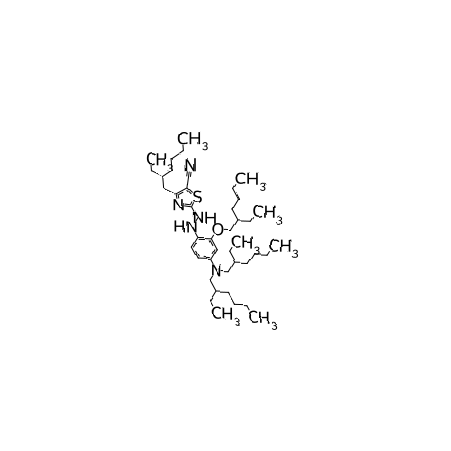 CCCCC(CC)COc1cc(N(CC(CC)CCCC)CC(CC)CCCC)ccc1NNc1nc(CC(CC)CCCC)c(C#N)s1